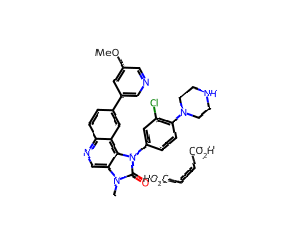 COc1cncc(-c2ccc3ncc4c(c3c2)n(-c2ccc(N3CCNCC3)c(Cl)c2)c(=O)n4C)c1.O=C(O)/C=C\C(=O)O